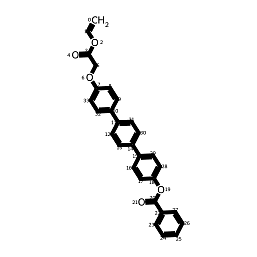 C=COC(=O)COc1ccc(-c2ccc(-c3ccc(OC(=O)c4ccccc4)cc3)cc2)cc1